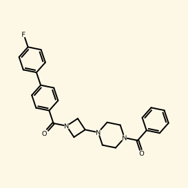 O=C(c1ccccc1)N1CCN(C2CN(C(=O)c3ccc(-c4ccc(F)cc4)cc3)C2)CC1